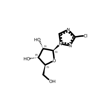 OC[C@@H]1O[C@H](n2cnc(Cl)n2)[C@@H](O)[C@H]1O